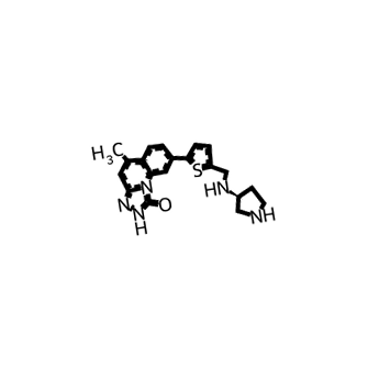 Cc1cc2n[nH]c(=O)n2c2cc(-c3ccc(CN[C@H]4CCNC4)s3)ccc12